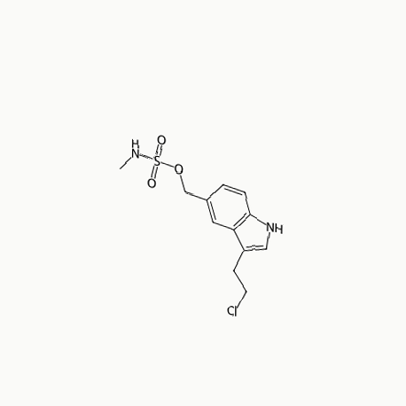 CNS(=O)(=O)OCc1ccc2[nH]cc(CCCl)c2c1